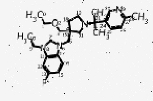 CCOC[C@@]1(CN2CN(CC)c3cc(F)ccc32)CCN(C(C)(C)c2ccc(C)nc2)C1